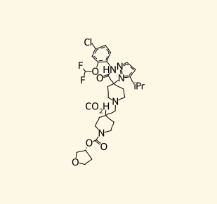 CC(C)c1ccnn1C1(C(=O)Nc2ccc(Cl)cc2OC(F)F)CCN(CC2(C(=O)O)CCN(C(=O)O[C@@H]3CCOC3)CC2)CC1